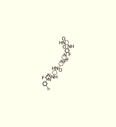 O=C1CCC(Nc2ccc(N3CCC(N4CCC(C(=O)N[C@H]5CC[C@H](Nc6ncc(F)c(-c7cccc(C8CC8)c7)n6)CC5)CC4)C(F)(F)C3)c(F)c2)C(=O)N1